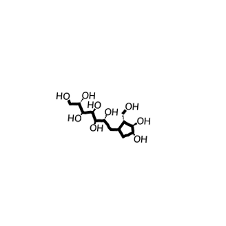 OC[C@H](O)[C@@H](O)[C@@H](O)[C@H](O)[C@H](O)CC1C[C@@H](O)[C@H](O)[C@H]1CO